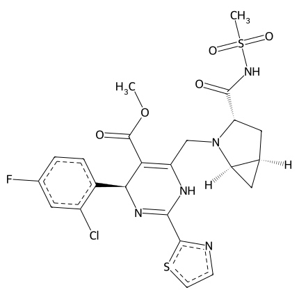 COC(=O)C1=C(CN2[C@@H]3C[C@@H]3C[C@H]2C(=O)NS(C)(=O)=O)NC(c2nccs2)=N[C@H]1c1ccc(F)cc1Cl